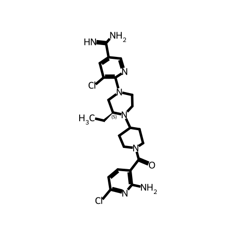 CC[C@H]1CN(c2ncc(C(=N)N)cc2Cl)CCN1C1CCN(C(=O)c2ccc(Cl)nc2N)CC1